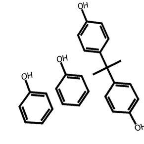 CC(C)(c1ccc(O)cc1)c1ccc(O)cc1.Oc1ccccc1.Oc1ccccc1